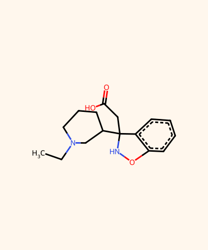 CCN1CCCC(C2(CC(=O)O)NOc3ccccc32)C1